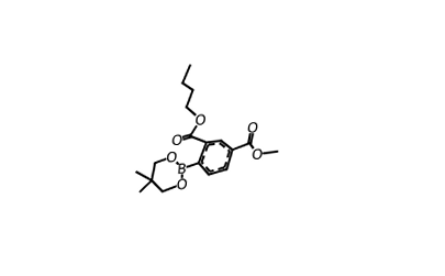 CCCCOC(=O)c1cc(C(=O)OC)ccc1B1OCC(C)(C)CO1